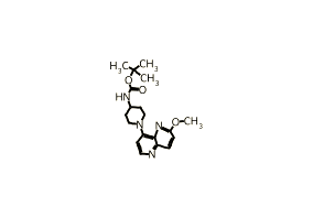 COc1ccc2nccc(N3CCC(NC(=O)OC(C)(C)C)CC3)c2n1